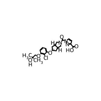 CC(C)(O)COc1cccc(O[C@H]2C[C@@H]3CN(C(=O)n4ccc(C(=O)O)n4)C[C@@H]3C2)c1Cl